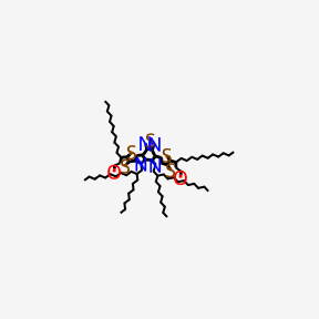 CCCCCCCCCCCc1c(C=O)sc2c1sc1c3c4nsnc4c4c5sc6c(CCCCCCCCCCC)c(C=O)sc6c5n(CC(CCCCCCCC)CCCCCCCCCC)c4c3n(CC(CCCCCCCC)CCCCCCCCCC)c21